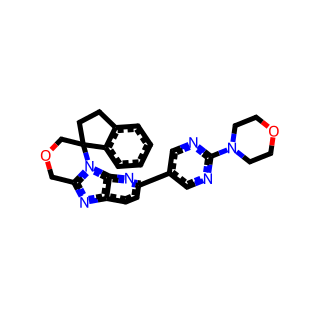 c1ccc2c(c1)CCC21COCc2nc3ccc(-c4cnc(N5CCOCC5)nc4)nc3n21